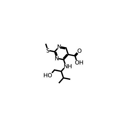 CSc1ncc(C(=O)O)c(NC(CO)C(C)C)n1